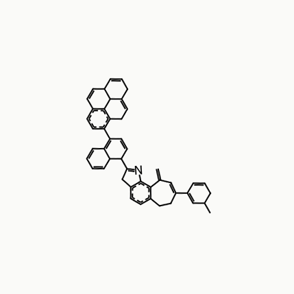 C=C1C=C(C2=CC(C)CC=C2)CCc2ccc3c(c21)N=C(C1C=CC(c2ccc4c5c2CC=C2CC=CC(C=C4)C25)=C2C=CC=CC21)C3